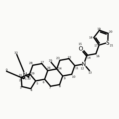 CC1C2CCC3C4CCC5CC(N(C)C(=O)Cc6cccs6)CCC5(C)C4CCC32CN1C